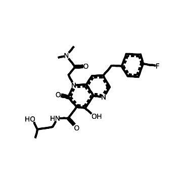 CC(O)CNC(=O)c1c(O)c2ncc(Cc3ccc(F)cc3)cc2n(CC(=O)N(C)C)c1=O